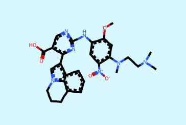 COc1cc(N(C)CCN(C)C)c([N+](=O)[O-])cc1Nc1ncc(C(=O)O)c(-c2cn3c4c(cccc24)CCC3)n1